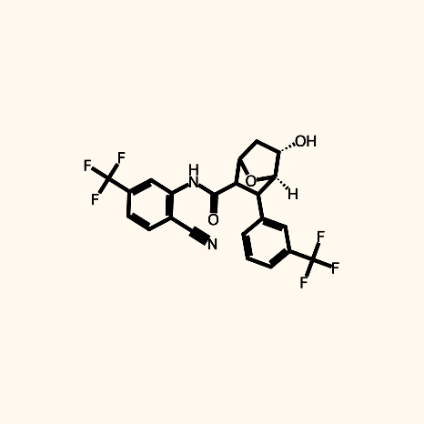 N#Cc1ccc(C(F)(F)F)cc1NC(=O)C1C2C[C@H](O)[C@H](O2)C1c1cccc(C(F)(F)F)c1